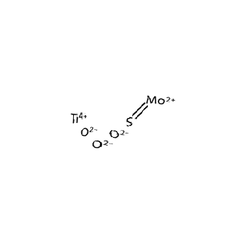 [O-2].[O-2].[O-2].[S]=[Mo+2].[Ti+4]